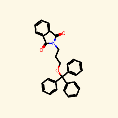 O=C1c2ccccc2C(=O)N1CCCOC(c1ccccc1)(c1ccccc1)c1ccccc1